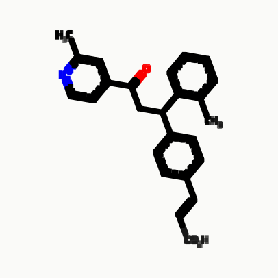 Cc1cc(C(=O)CC(c2ccc(C=CC(=O)O)cc2)c2ccccc2C)ccn1